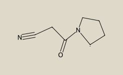 N#CCC(=O)N1[CH]CCC1